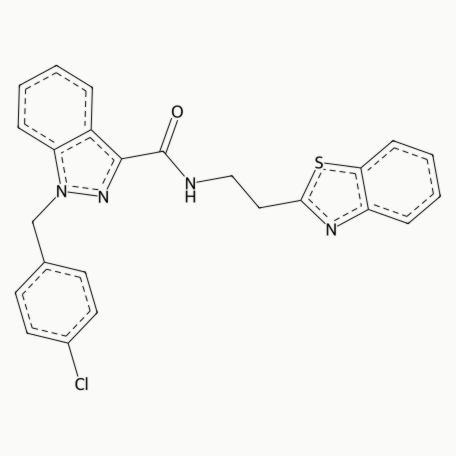 O=C(NCCc1nc2ccccc2s1)c1nn(Cc2ccc(Cl)cc2)c2ccccc12